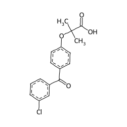 CC(C)(Oc1ccc(C(=O)c2cccc(Cl)c2)cc1)C(=O)O